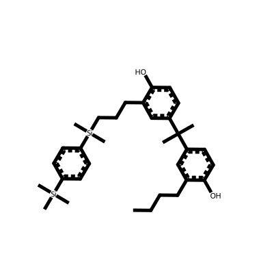 CCCCc1cc(C(C)(C)c2ccc(O)c(CCC[Si](C)(C)c3ccc([Si](C)(C)C)cc3)c2)ccc1O